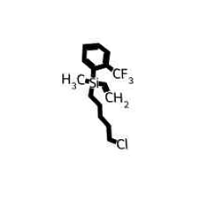 C=C[Si](C)(CCCCCCl)c1ccccc1C(F)(F)F